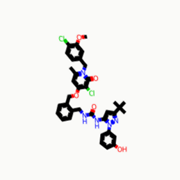 COc1cc(Cn2c(C)cc(OCc3ccccc3CNC(=O)Nc3cc(C(C)(C)C)nn3-c3cccc(O)c3)c(Cl)c2=O)ccc1Cl